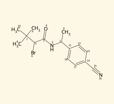 CC(NC(=O)C(Br)C(C)(C)C)c1ccc(C#N)cc1